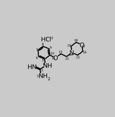 Cl.N=C(N)Nc1ccccc1OCCN1CCOCC1